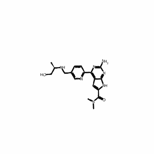 C[C@H](CO)NCc1ccc(-c2nc(N)nc3[nH]c(C(=O)N(C)C)cc23)nc1